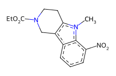 CCOC(=O)N1CCc2c(c3cccc([N+](=O)[O-])c3n2C)C1